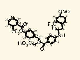 COc1ccc(CC(=O)Nc2ccc(C(=O)N(CC(=O)O)Cc3ccc(OC(=O)c4cnccc4C(F)(F)F)cc3)cc2)c(C(F)(F)F)c1